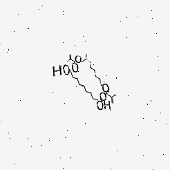 C=C(C)C(=O)OCCCCCCC(C)COC(=O)C(=C)C.OCCCCCCCCCO